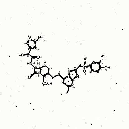 Cc1cc(SCC2=C(C(=O)O)N3C(=O)[C@@H](NC(=O)C(=O)c4csc(N)n4)[C@H]3SC2)n2nc(CS(=O)(=O)c3ccc(O)c(O)c3)nc2n1